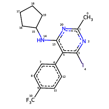 Cc1nc(I)c(-c2ccc(C(F)(F)F)cc2)c(NC2CCCC2)n1